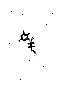 C=[N+](c1cc(C)cc(C)c1C)C(C)(C)C(C)(C)CCO